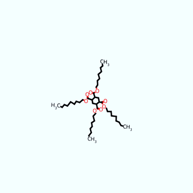 CCCCCCCCCOC(=O)C1CC(C(=O)OCCCCCCCCC)C(C(=O)OCCCCCCCCC)CC1C(=O)OCCCCCCCCC